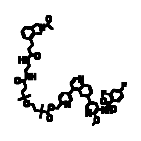 COc1ncc(-c2ccc3nccc(-c4ccc(COC(=O)C(C)(C)CCOC(C)(C)CCC(=O)NCCNC(=O)CCc5cccc6c5CN(C(C)=O)C6)nc4)c3c2)cc1NS(=O)(=O)c1ccc(F)cc1F